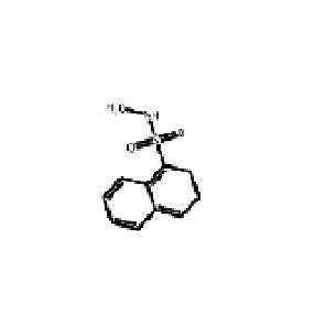 CNS(=O)(=O)C1=c2ccccc2=CCC1